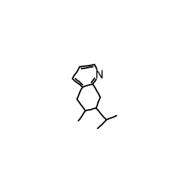 CC(C)C1Cc2ncccc2CC1C